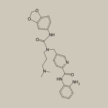 CN(C)CCCN(Cc1ccc(C(=O)Nc2ccccc2N)nc1)C(=O)Nc1ccc2c(c1)OCO2